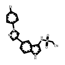 CCc1ccc(-n2cc(-c3ccc4[nH]cc(NS(=O)(=O)CC#N)c4c3)cn2)cc1